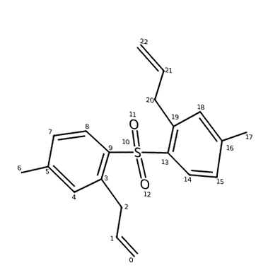 C=CCc1cc(C)ccc1S(=O)(=O)c1ccc(C)cc1CC=C